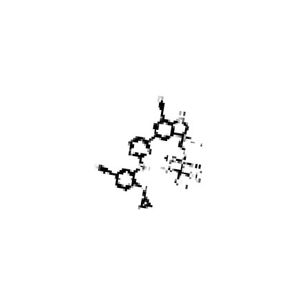 CC(C)(C)[Si](C)(C)OC[C@@]1(C)CNc2c(C#N)cc(-c3ccnc(Nc4cc(C#N)ccc4OC4CC4)n3)cc21